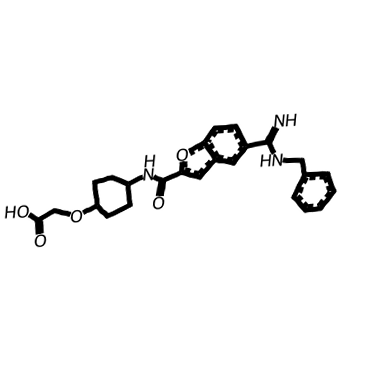 N=C(NCc1ccccc1)c1ccc2oc(C(=O)NC3CCC(OCC(=O)O)CC3)cc2c1